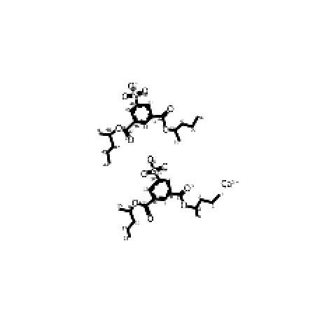 CCCC(C)OC(=O)c1cc(C(=O)OC(C)CCC)cc(S(=O)(=O)[O-])c1.CCCC(C)OC(=O)c1cc(C(=O)OC(C)CCC)cc(S(=O)(=O)[O-])c1.[Ca+2]